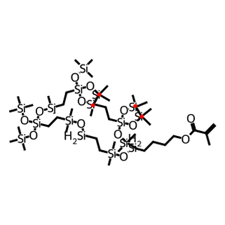 C=C(C)C(=O)OCCCC[SiH2]O[Si](C)(C)CC[SiH2]O[Si](C)(C)CC[Si](O[Si](C)(C)C)(O[Si](C)(C)C)O[Si](C)(C)CC[Si](O[Si](C)(C)C)(O[Si](C)(C)C)O[Si](C)(C)CC[Si](O[Si](C)(C)C)(O[Si](C)(C)C)O[Si](C)(C)C